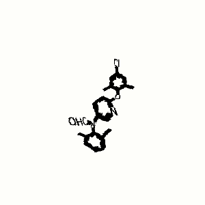 Cc1cc(Cl)cc(C)c1Oc1ccc(N(C=O)c2c(C)cccc2C)cn1